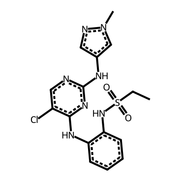 CCS(=O)(=O)Nc1ccccc1Nc1nc(Nc2cnn(C)c2)ncc1Cl